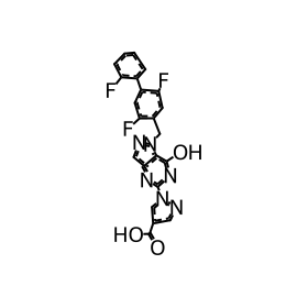 O=C(O)c1cnn(-c2nc(O)c3c(cnn3Cc3cc(F)c(-c4ccccc4F)cc3F)n2)c1